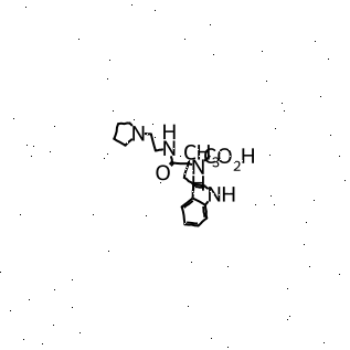 CC(Cc1c[nH]c2ccccc12)(NC(=O)O)C(=O)NCCN1CCCC1